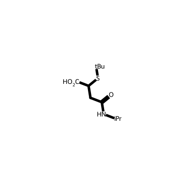 CC(C)NC(=O)CC(SC(C)(C)C)C(=O)O